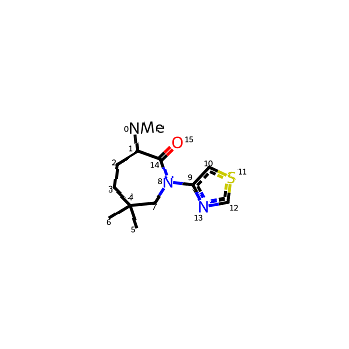 CNC1CCC(C)(C)CN(c2cscn2)C1=O